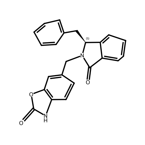 O=C1c2ccccc2[C@H](Cc2ccccc2)N1Cc1ccc2[nH]c(=O)oc2c1